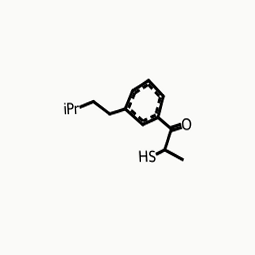 CC(C)CCc1cccc(C(=O)C(C)S)c1